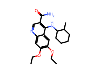 CCOc1cc2ncc(C(N)=O)c(NC3CCCCC3C)c2cc1OCC